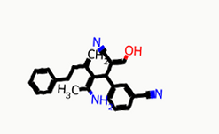 C=C(CCc1ccccc1)/C(=C(\C)N)C(/C(C#N)=C/O)c1cccc(C#N)c1